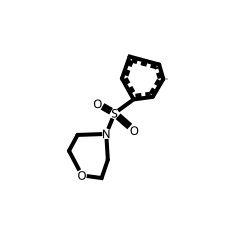 O=S(=O)(c1c[c]ccc1)N1CCOCC1